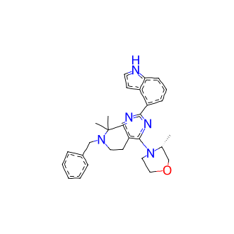 C[C@@H]1COCCN1c1nc(-c2cccc3[nH]ccc23)nc2c1CCN(Cc1ccccc1)C2(C)C